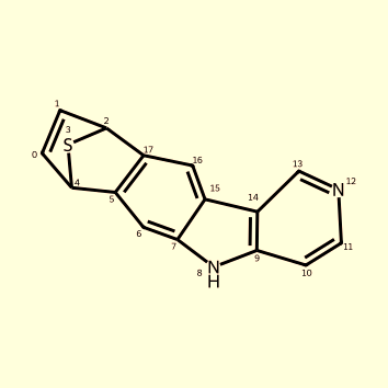 C1=CC2SC1c1cc3[nH]c4ccncc4c3cc12